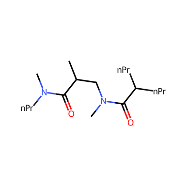 CCCC(CCC)C(=O)N(C)CC(C)C(=O)N(C)CCC